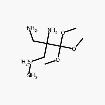 COC(OC)(OC)C(N)(CN)C[SiH2][SiH3]